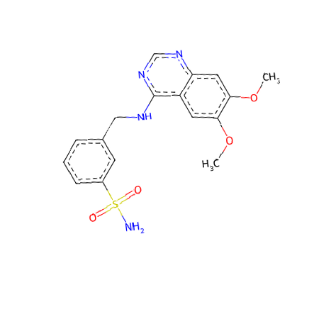 COc1cc2ncnc(NCc3cccc(S(N)(=O)=O)c3)c2cc1OC